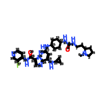 CN1CCCC1CCNC(=O)N[C@H]1CC[C@H](Nc2cc(NC3CC3)c3ncc(C(=O)Nc4ccncc4F)n3n2)CC1